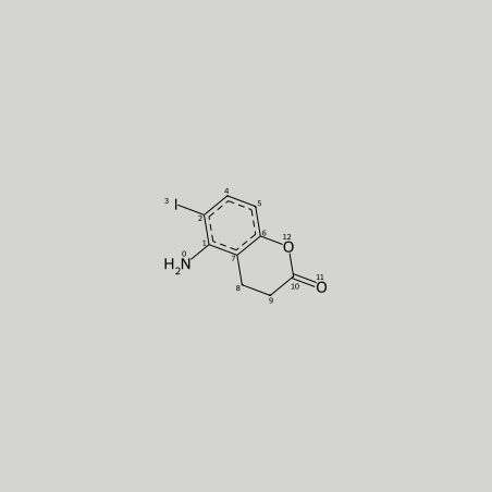 Nc1c(I)ccc2c1CCC(=O)O2